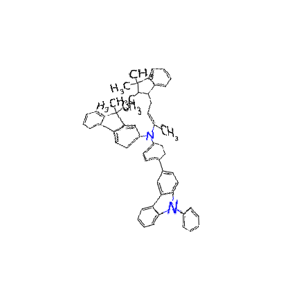 C/C(=C\CC1c2ccccc2C(C)(C)C1C)N(C1=CC=C(c2ccc3c(c2)c2ccccc2n3-c2ccccc2)CC1)c1ccc2c(c1)C(C)(C)c1ccccc1-2